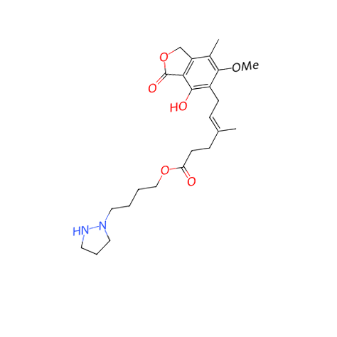 COc1c(C)c2c(c(O)c1C/C=C(\C)CCC(=O)OCCCCN1CCCN1)C(=O)OC2